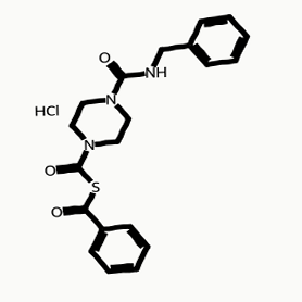 Cl.O=C(SC(=O)N1CCN(C(=O)NCc2ccccc2)CC1)c1ccccc1